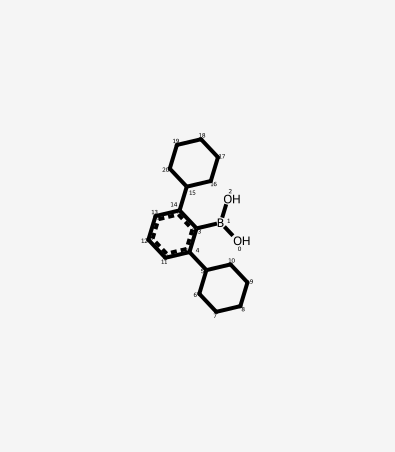 OB(O)c1c(C2CCCCC2)cccc1C1CCCCC1